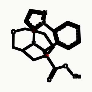 CC(C)(C)OC(=O)N1CCC2COCC(C1)N2C(=O)c1ccccc1-n1nccn1